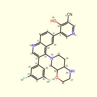 N#Cc1cncc(-c2ccc3ncc(-c4cc(F)cc(F)c4)c(N4CCC5NCCOC5C4)c3c2)c1O